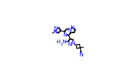 Cn1cc(-c2cn3nccc3c(-c3cn(C4CC(C)(C#N)C4)nc3N)n2)cn1